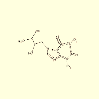 CC(O)C(O)Cn1cnc2c1c(=O)n(C)c(=O)n2C